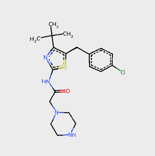 CC(C)(C)c1nc(NC(=O)CN2CCNCC2)sc1Cc1ccc(Cl)cc1